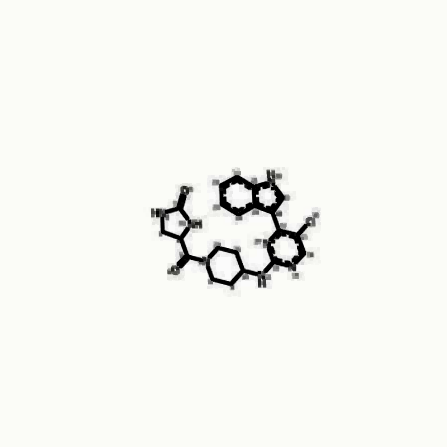 O=C1NCC(C(=O)N2CCC(Nc3ncc(Cl)c(-c4c[nH]c5ccccc45)n3)CC2)N1